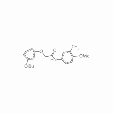 COc1ccc(NC(=O)COc2cccc(OCC(C)C)c2)cc1C